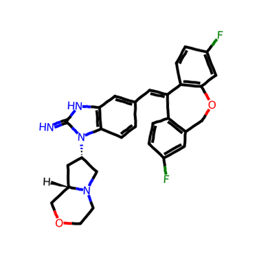 N=c1[nH]c2cc(/C=C3\c4ccc(F)cc4COc4cc(F)ccc43)ccc2n1[C@H]1C[C@H]2COCCN2C1